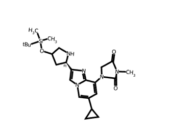 CN1C(=O)CN(c2cc(C3CC3)cn3cc([C@H]4CC(O[Si](C)(C)C(C)(C)C)CN4)nc23)C1=O